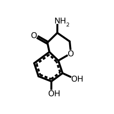 NC1COc2c(ccc(O)c2O)C1=O